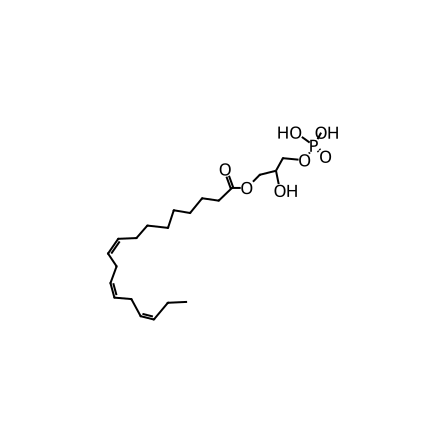 CC/C=C\C/C=C\C/C=C\CCCCCCCC(=O)OCC(O)COP(=O)(O)O